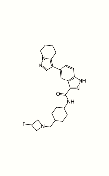 O=C(NC1CCC(CN2CC(F)C2)CC1)c1n[nH]c2ccc(-c3cnn4c3CCCC4)cc12